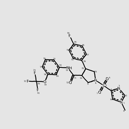 Cn1cnc(S(=O)(=O)N2CC(C(=O)Nc3cccc(OC(F)(F)F)c3)C(c3ccc(F)cc3)C2)c1